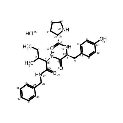 CCC(C)[C@H](NC(=O)[C@H](Cc1ccc(O)cc1)NC(=O)[C@@H]1CCCN1)C(=O)NCc1ccccc1.Cl